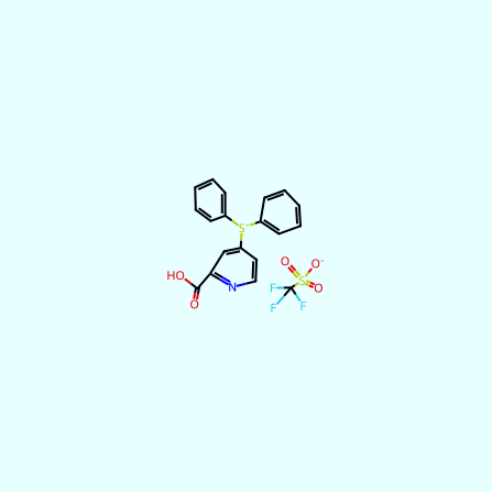 O=C(O)c1cc([S+](c2ccccc2)c2ccccc2)ccn1.O=S(=O)([O-])C(F)(F)F